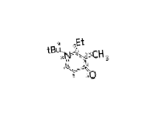 CCc1c(C)c(=O)ccn1C(C)(C)C